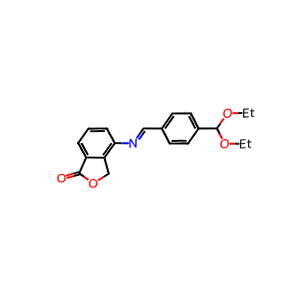 CCOC(OCC)c1ccc(C=Nc2cccc3c2COC3=O)cc1